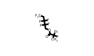 CCC(C)(F)C(=O)OCC(F)(F)C(F)(F)CC(F)(F)F